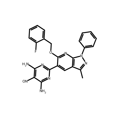 Cc1nn(-c2ccccc2)c2nc(OCc3ccccc3F)c(-c3nc(N)c(N=O)c(N)n3)cc12